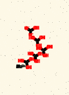 OB(O)O.OB(O)O.OB(O)O.OB(O)O.[Mn+2].[O-]B([O-])O